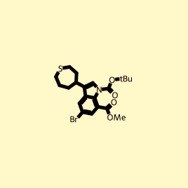 COC(=O)c1cc(Br)cc2c(C3CCCSCC3)cn(C(=O)OC(C)(C)C)c12